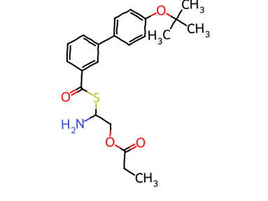 CCC(=O)OCC(N)SC(=O)c1cccc(-c2ccc(OC(C)(C)C)cc2)c1